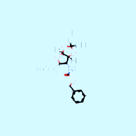 CC1(C)O[C@H]2OC(C(=O)O)[C@@H](NC(=O)OCc3ccccc3)[C@H]2O1